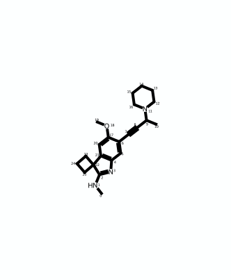 CNC1=Nc2cc(C#CC(C)N3CCCCC3)c(OC)cc2C12CCC2